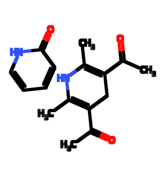 CC(=O)C1=C(C)NC(C)=C(C(C)=O)C1.O=c1cccc[nH]1